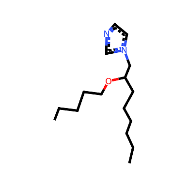 CCCCCCC(Cn1ccnc1)OCCCCC